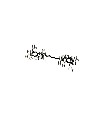 CCC1(C)CC(NC(=O)NCCCCCCNC(=O)NC2CC(C)(CC)NC(C)(CC)C2C)C(C)C(C)(CC)N1